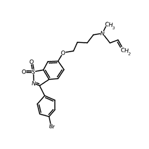 C=CCN(C)CCCCOc1ccc2c(c1)S(=O)(=O)N=C2c1ccc(Br)cc1